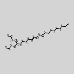 CCCCCCCCCOCOC=CCCCCC(OCCC)OCCC